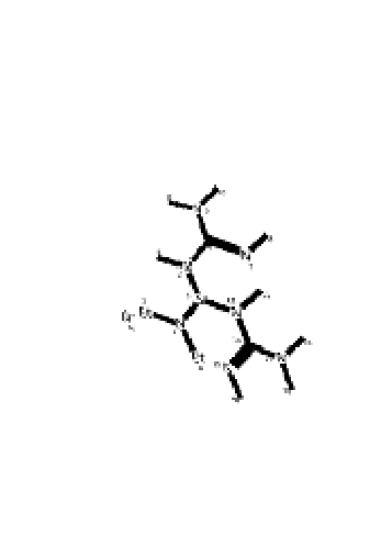 CCN(CC)[S+](N(C)/C(=N/C)N(C)C)N(C)/C(=N/C)N(C)C.[Br-]